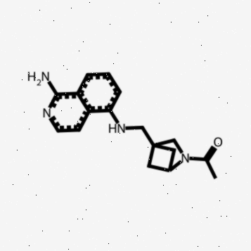 CC(=O)N1CC2(CNc3cccc4c(N)nccc34)CC1C2